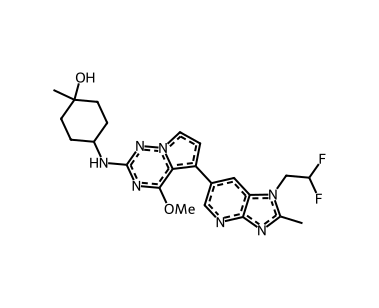 COc1nc(NC2CCC(C)(O)CC2)nn2ccc(-c3cnc4nc(C)n(CC(F)F)c4c3)c12